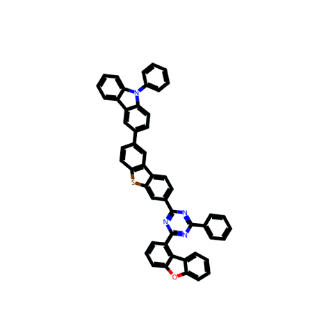 c1ccc(-c2nc(-c3ccc4c(c3)sc3ccc(-c5ccc6c(c5)c5ccccc5n6-c5ccccc5)cc34)nc(-c3cccc4oc5ccccc5c34)n2)cc1